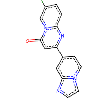 O=c1cc(-c2ccn3ccnc3c2)nc2ccc(F)cn12